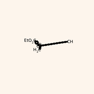 C#CC#CC#CC#CC#CC#CC#CC#CC#CC#CC(=C=C=C)OC(=O)C1CCC(C(=O)OCC)CC1